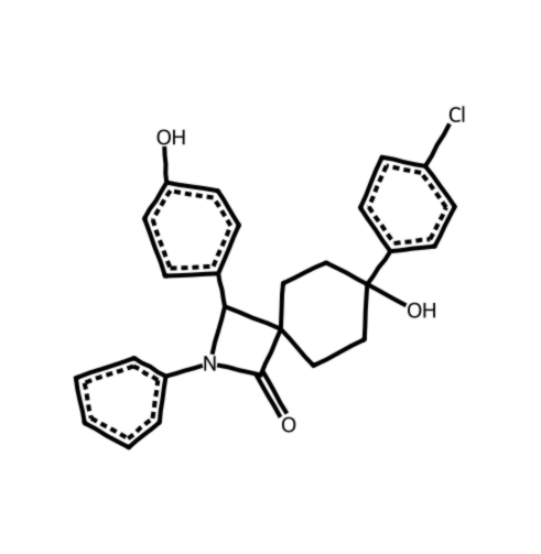 O=C1N(c2ccccc2)C(c2ccc(O)cc2)C12CCC(O)(c1ccc(Cl)cc1)CC2